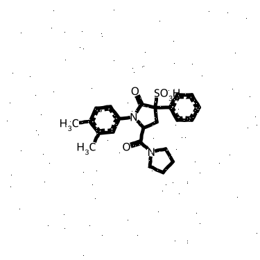 Cc1ccc(N2C(=O)C(c3ccccc3)(S(=O)(=O)O)CC2C(=O)N2CCCC2)cc1C